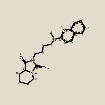 CN(CCCCN1C(=O)C2CCCCN2C1=O)c1ccc2ccccc2n1